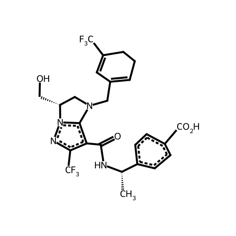 C[C@H](NC(=O)c1c(C(F)(F)F)nn2c1N(CC1=CCCC(C(F)(F)F)=C1)C[C@H]2CO)c1ccc(C(=O)O)cc1